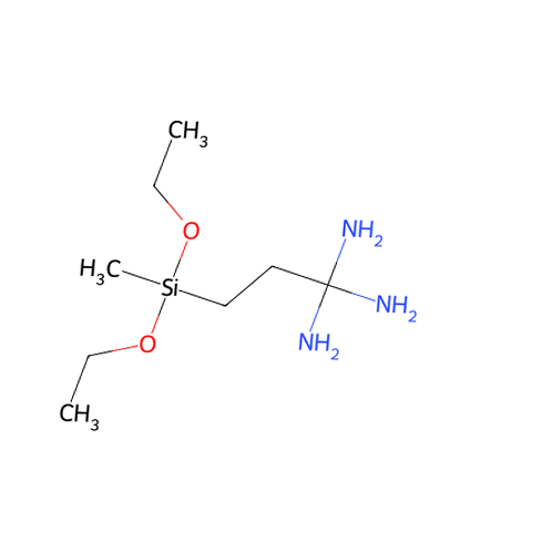 CCO[Si](C)(CCC(N)(N)N)OCC